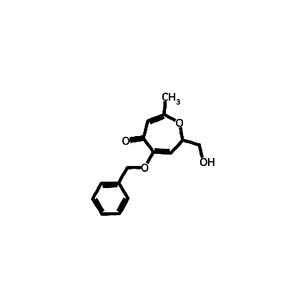 CC1=CC(=O)C(OCc2ccccc2)=CC(CO)O1